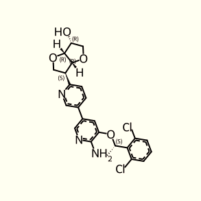 C[C@H](Oc1cc(-c2ccc([C@H]3CO[C@H]4[C@@H]3OC[C@H]4O)nc2)cnc1N)c1c(Cl)cccc1Cl